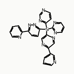 c1ccc(-c2ccc([Si](c3ccncn3)(c3cnc(-c4cccnc4)cn3)c3ncccn3)nn2)nc1